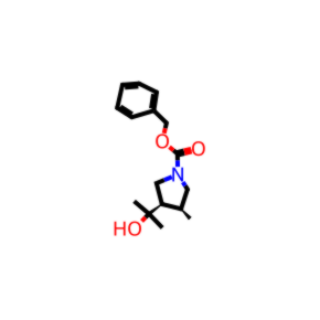 C[C@@H]1CN(C(=O)OCc2ccccc2)C[C@@H]1C(C)(C)O